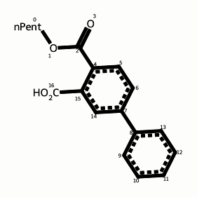 CCCCCOC(=O)c1ccc(-c2ccccc2)cc1C(=O)O